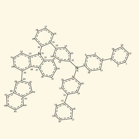 c1ccc(-c2ccc(N(c3ccc(-c4ccccc4)cc3)c3ccc(-c4ccccc4-n4c5ccccc5c5c(-c6ccc7ccccc7c6)cccc54)cc3)cc2)cc1